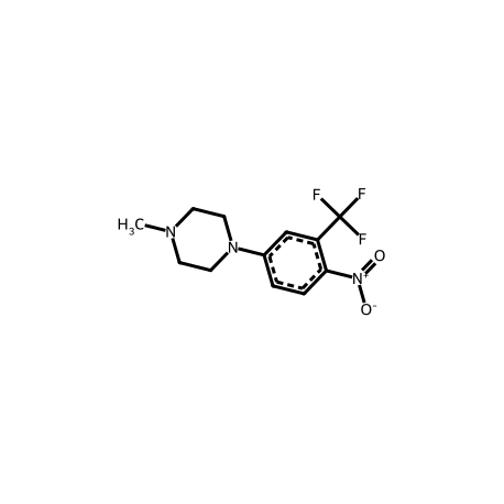 CN1CCN(c2ccc([N+](=O)[O-])c(C(F)(F)F)c2)CC1